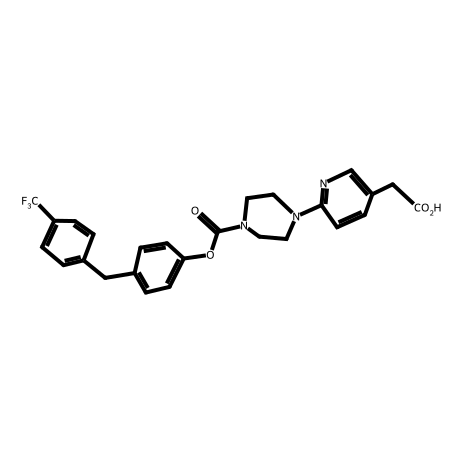 O=C(O)Cc1ccc(N2CCN(C(=O)Oc3ccc(Cc4ccc(C(F)(F)F)cc4)cc3)CC2)nc1